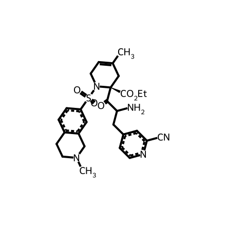 CCOC(=O)[C@]1(C(=O)C(N)Cc2ccnc(C#N)c2)CC(C)=CCN1S(=O)(=O)c1ccc2c(c1)CN(C)CC2